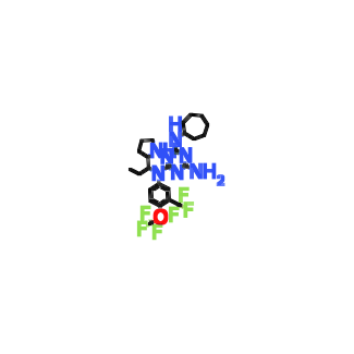 CCC(C1CCCN1)N(c1ccc(OC(F)(F)F)c(C(F)(F)F)c1)c1nc(N)nc(NC2CCCCCC2)n1